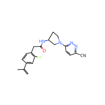 C=C(C)c1ccc(CC(=O)N[C@H]2CCN(c3ccc(C#N)nn3)C2)c(F)c1